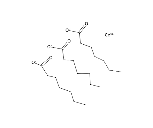 CCCCCCC(=O)[O-].CCCCCCC(=O)[O-].CCCCCCC(=O)[O-].[Ce+3]